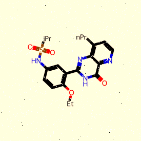 CCCc1ccnc2c(=O)[nH]c(-c3cc(NS(=O)(=O)C(C)C)ccc3OCC)nc12